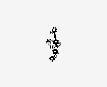 C=CC(=O)Nc1cc2c(Nc3ccc(Oc4ccccc4)c(C)c3)ncnc2cc1C#CC1[C@H]2CN(C)C[C@@H]12